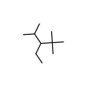 CCC([C](C)C)C(C)(C)C